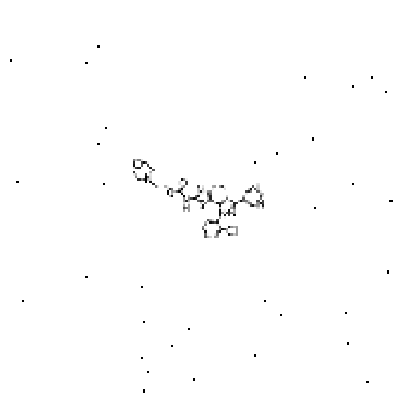 O=C(Nc1nc2c(s1)-c1c(c(-c3cncnc3)nn1-c1ccccc1Cl)CC2)OCCN1CCOCC1